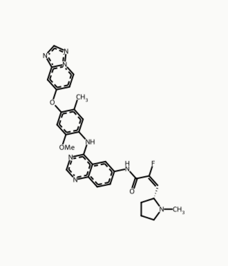 COc1cc(Oc2ccn3ncnc3c2)c(C)cc1Nc1ncnc2ccc(NC(=O)/C(F)=C\[C@H]3CCCN3C)cc12